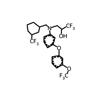 OC(CN(CC1CCCC(C(F)(F)F)C1)c1cccc(Oc2cccc(OC(F)(F)F)c2)c1)C(F)(F)F